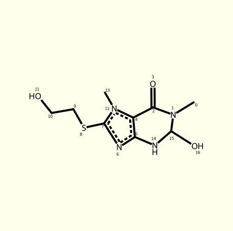 CN1C(=O)c2c(nc(SCCO)n2C)NC1O